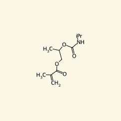 C=C(C)C(=O)OCC(C)OC(=O)NC(C)C